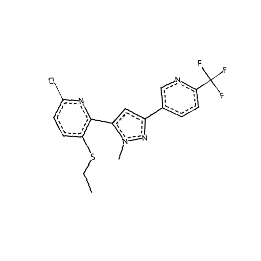 CCSc1ccc(Cl)nc1-c1cc(-c2ccc(C(F)(F)F)nc2)nn1C